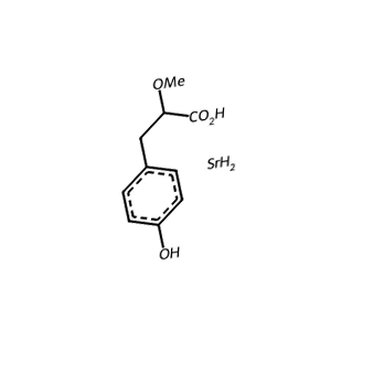 COC(Cc1ccc(O)cc1)C(=O)O.[SrH2]